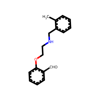 Cc1ccccc1CNCCOc1ccccc1C=O